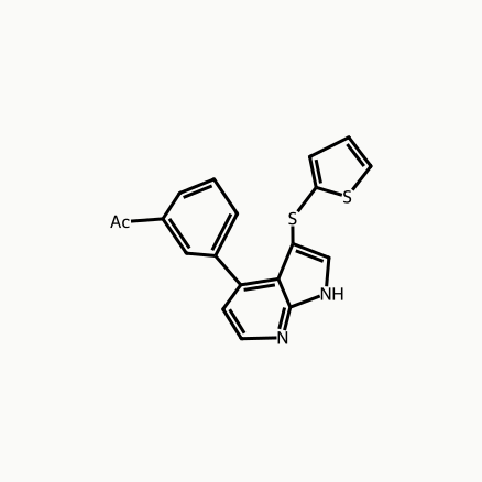 CC(=O)c1cccc(-c2ccnc3[nH]cc(Sc4cccs4)c23)c1